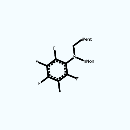 CCCCCCCCCN(CC(C)CCC)c1c(F)c(C)c(F)c(F)c1F